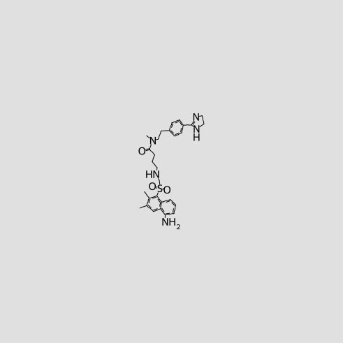 Cc1cc2c(N)cccc2c(S(=O)(=O)CNCCCC(=O)N(C)CCc2ccc(C3=NCCN3)cc2)c1C